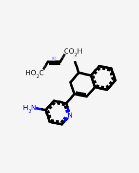 CC1CC(c2cc(N)ccn2)=Cc2ccccc21.O=C(O)/C=C/C(=O)O